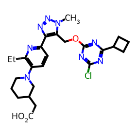 CCc1nc(-c2nnn(C)c2COc2nc(Cl)nc(C3CCC3)n2)ccc1N1CCCC(CC(=O)O)C1